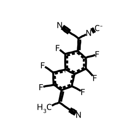 [C-]#[N+]/C(C#N)=c1\c(F)c(F)c2c(F)/c(=C(/C)C#N)c(F)c(F)c2c1F